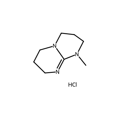 CN1CCCN2CCCN=C12.Cl